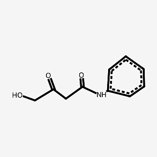 O=C(CO)CC(=O)Nc1ccccc1